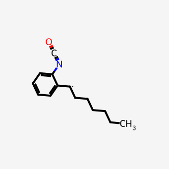 CCCCCC[CH]c1ccccc1N=C=O